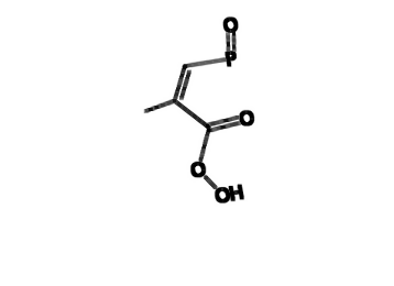 CC(=CP=O)C(=O)OO